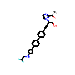 C[C@H](O)c1nccn1C(C#Cc1ccc(-c2ccc(C3CC(NCC(F)F)C3)cc2)cc1)CO